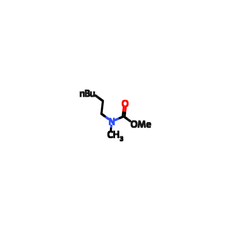 [CH2]CCCCCN(C)C(=O)OC